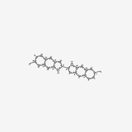 Cc1ccc2cc3cc(-c4cc5cc6ccc(C)cc6cc5o4)oc3cc2c1